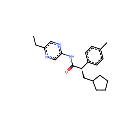 CCc1cnc(NC(=O)[C@H](CC2CCCC2)c2ccc(C)cc2)cn1